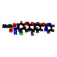 CNS(=O)(=O)Nc1cccc(Cc2c(C)c3ccc(Oc4ncccn4)cc3oc2=O)c1Cl